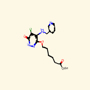 COC(=O)CCCCCOc1n[nH]c(=O)c(Cl)c1NCc1cccnc1